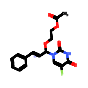 CC(=O)OCCOC(/C=C/c1ccccc1)n1cc(F)c(=O)[nH]c1=O